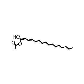 CCCCCCCCCCCCC=CC=C(O)OC(C)=O